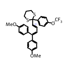 COc1ccc(C(=C/C=C/C2(c3ccc(OC(F)(F)F)cc3)SCCCS2)c2ccc(OC)cc2)cc1